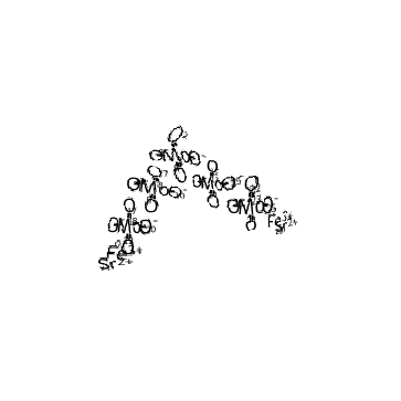 [Fe+3].[Fe+3].[O]=[Mo](=[O])([O-])[O-].[O]=[Mo](=[O])([O-])[O-].[O]=[Mo](=[O])([O-])[O-].[O]=[Mo](=[O])([O-])[O-].[O]=[Mo](=[O])([O-])[O-].[Sr+2].[Sr+2]